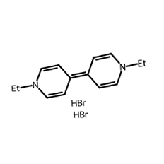 Br.Br.CCN1C=CC(=C2C=CN(CC)C=C2)C=C1